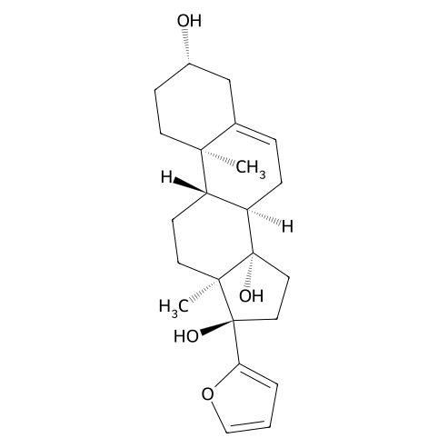 C[C@]12CC[C@H]3[C@@H](CC=C4C[C@@H](O)CC[C@@]43C)[C@@]1(O)CC[C@]2(O)c1ccco1